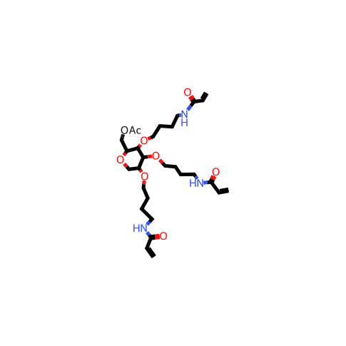 C=CC(=O)NCCCCOC1COC(COC(C)=O)C(OCCCCNC(=O)C=C)C1OCCCCNC(=O)C=C